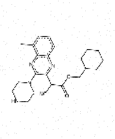 N#CC(C(=O)OCC1CCCCC1)c1nc2cccc(F)c2nc1N1CCNCC1